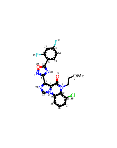 COCCn1c(=O)c2c(-c3noc(-c4ccc(F)cc4F)n3)ncn2c2cccc(Cl)c21